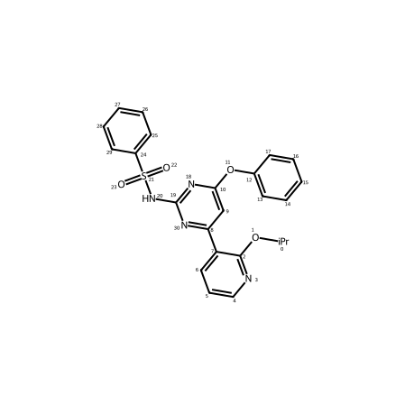 CC(C)Oc1ncccc1-c1cc(Oc2ccccc2)nc(NS(=O)(=O)c2ccccc2)n1